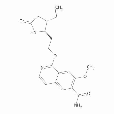 C=C[C@H]1CC(=O)N[C@@H]1CCOc1nccc2cc(C(N)=O)c(OC)cc12